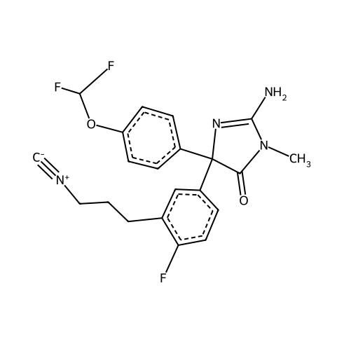 [C-]#[N+]CCCc1cc(C2(c3ccc(OC(F)F)cc3)N=C(N)N(C)C2=O)ccc1F